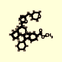 COC(=O)c1ccc2c(C3CCCCC3)c3n(c2c1)CC(c1nnc(CC2CCOCC2)o1)=Cc1ccccc1-3